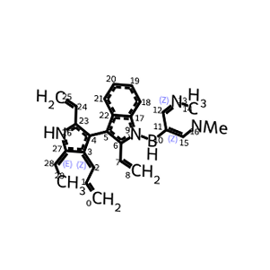 C=C/C=c1/c(-c2c(C=C)n(BC(/C=N\C)=C/NC)c3ccccc23)c(C=C)[nH]/c1=C/C